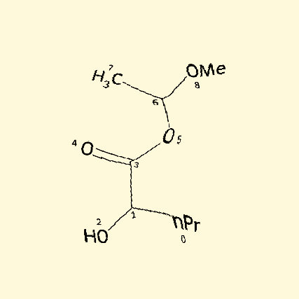 CCCC(O)C(=O)OC(C)OC